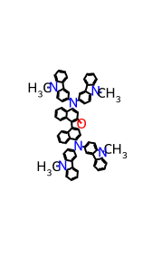 Cn1c2ccccc2c2cc(N(c3ccc4c(c3)c3ccccc3n4C)c3cc4oc5cc(N(c6ccc7c(c6)c6ccccc6n7C)c6ccc7c(c6)c6ccccc6n7C)c6ccccc6c5c4c4ccccc34)ccc21